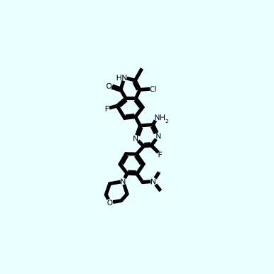 Cc1[nH]c(=O)c2c(F)cc(-c3nc(-c4ccc(N5CCOCC5)c(CN(C)C)c4)c(F)nc3N)cc2c1Cl